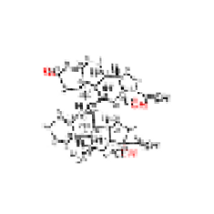 C#C[C@]1(O)CC[C@H]2[C@@H]3CCC4=CC(=O)CC[C@@H]4[C@H]3C(=C)C[C@@]21CC.C#C[C@]1(O)CC[C@H]2[C@@H]3CCC4=CCCC[C@@H]4[C@H]3C(=C)C[C@@]21CC